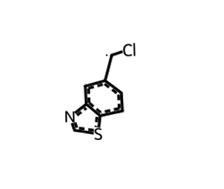 Cl[CH]c1ccc2scnc2c1